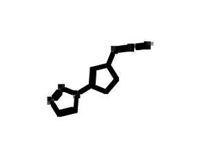 [N-]=[N+]=NC1C=C(n2ccnn2)CC1